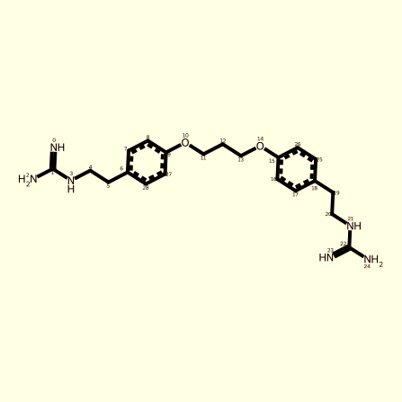 N=C(N)NCCc1ccc(OCCCOc2ccc(CCNC(=N)N)cc2)cc1